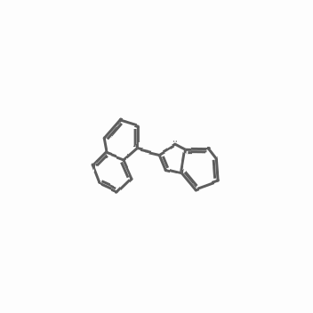 [C]1C(c2cccc3ccccc23)=Cc2ccccc21